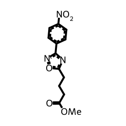 COC(=O)CCCc1nc(-c2ccc([N+](=O)[O-])cc2)no1